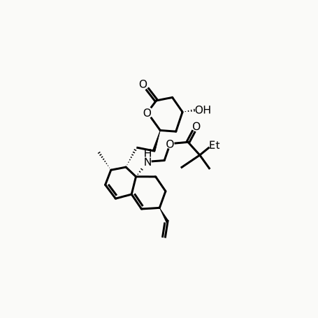 C=C[C@H]1C=C2C=C[C@H](C)[C@H](CC[C@@H]3C[C@@H](O)CC(=O)O3)[C@@]2(NCOC(=O)C(C)(C)CC)CC1